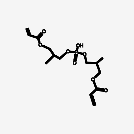 C=CC(=O)OCC(C)COP(=O)(O)OCC(C)COC(=O)C=C